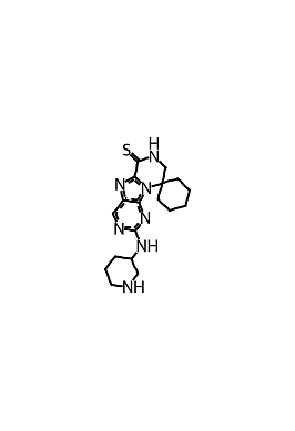 S=C1NCC2(CCCCC2)n2c1nc1cnc(NC3CCCNC3)nc12